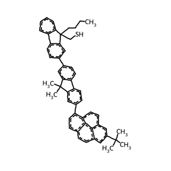 CCCCC1(CS)c2ccccc2-c2ccc(-c3ccc4c(c3)C(C)(C)c3cc(-c5ccc6ccc7cc(C(C)(C)C)cc8ccc5c6c78)ccc3-4)cc21